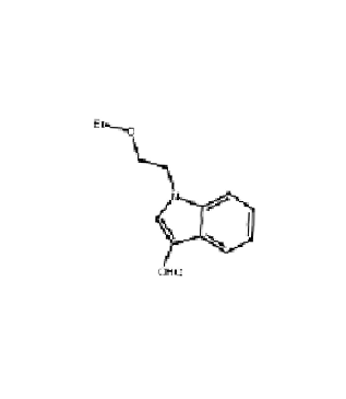 CCOCCn1cc(C=O)c2ccccc21